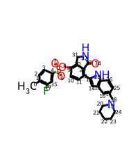 Cc1ccc(S(=O)(=O)Oc2ccc(-c3cc4cc(CN5CCCCC5)ccc4[nH]3)c3c2CNC3=O)cc1F